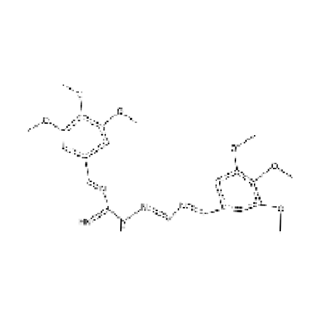 COc1cc(C=N/C=N/NC(=N)N=Cc2cc(OC)c(OC)c(OC)c2)cc(OC)c1OC